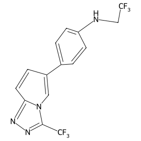 FC(F)(F)CNc1ccc(-c2ccc3nnc(C(F)(F)F)n3c2)cc1